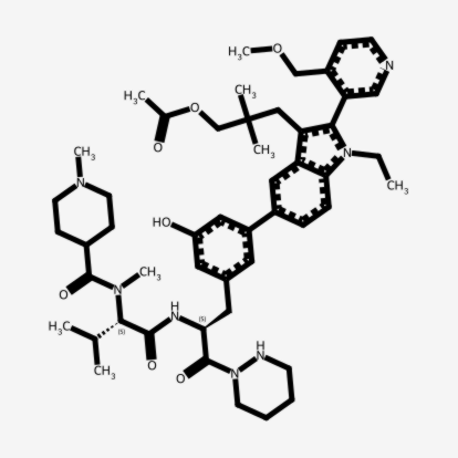 CCn1c(-c2cnccc2COC)c(CC(C)(C)COC(C)=O)c2cc(-c3cc(O)cc(C[C@H](NC(=O)[C@H](C(C)C)N(C)C(=O)C4CCN(C)CC4)C(=O)N4CCCCN4)c3)ccc21